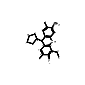 Bc1cc2c(cc1C)C(C1CCCC1)c1cc(C)c(F)c(CC)c1O2